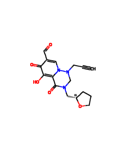 C#CCN1CN(C[C@@H]2CCCO2)C(=O)c2c(O)c(=O)c(C=O)cn21